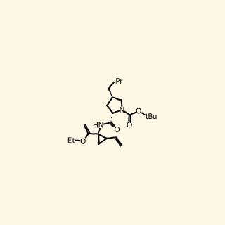 C=CC1C[C@]1(NC(=O)[C@@H]1C[C@@H](CC(C)C)CN1C(=O)OC(C)(C)C)C(=C)OCC